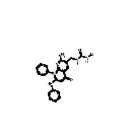 CCNC(=O)NCc1cc2c(=O)cc(Nc3ccccc3)n(-c3ccccc3)c2nc1C